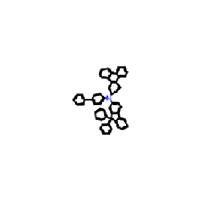 C1=CC(N(c2ccc(-c3ccccc3)cc2)c2ccc3c(c2)C(c2ccccc2)(c2ccccc2)c2ccccc2-3)Cc2c1c1ccccc1c1ccccc21